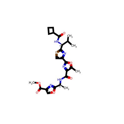 COC(=O)c1coc([C@H](C)NC(=O)c2nc(-c3csc([C@@H](NC(=O)C4CCC4)C(C)C)n3)oc2C)n1